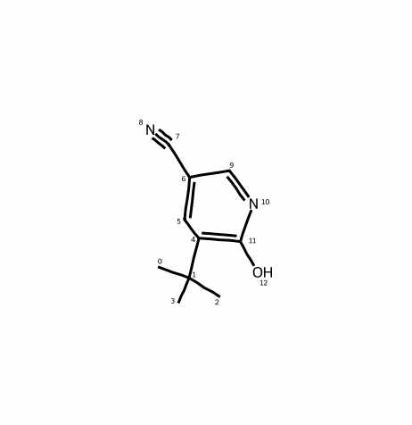 CC(C)(C)c1cc(C#N)cnc1O